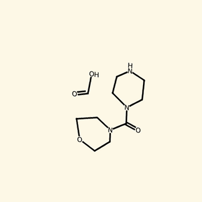 O=C(N1CCNCC1)N1CCOCC1.O=CO